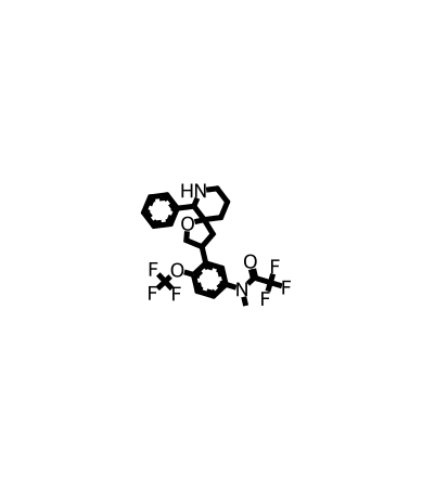 CN(C(=O)C(F)(F)F)c1ccc(OC(F)(F)F)c(C2COC3(CCCNC3c3ccccc3)C2)c1